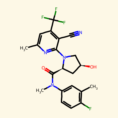 Cc1cc(C(F)(F)F)c(C#N)c(N2C[C@@H](O)C[C@H]2C(=O)N(C)c2ccc(F)c(C)c2)n1